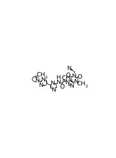 C[C@H]1CCCN1c1ncc(-c2cncc(NC(=O)[C@H](C)n3cnc4c3c(=O)n(CC#N)c(=O)n4C)n2)cn1